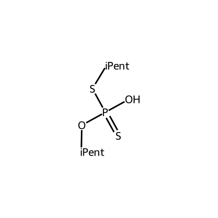 CCCC(C)OP(O)(=S)SC(C)CCC